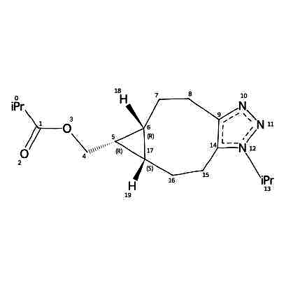 CC(C)C(=O)OC[C@@H]1[C@@H]2CCc3nnn(C(C)C)c3CC[C@@H]21